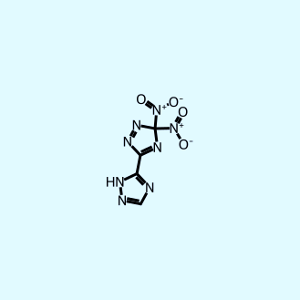 O=[N+]([O-])C1([N+](=O)[O-])N=NC(c2ncn[nH]2)=N1